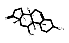 CC(=O)OC1CC[C@@]2(C)C(=CC[C@@H]3[C@H]2C(OC(C)=O)C[C@]2(C)C(=O)CC[C@@H]32)C1